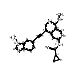 CNc1ncc(C#Cc2ccc3ncn(C)c3c2)c2cc(NC(=O)C3CC3)ncc12